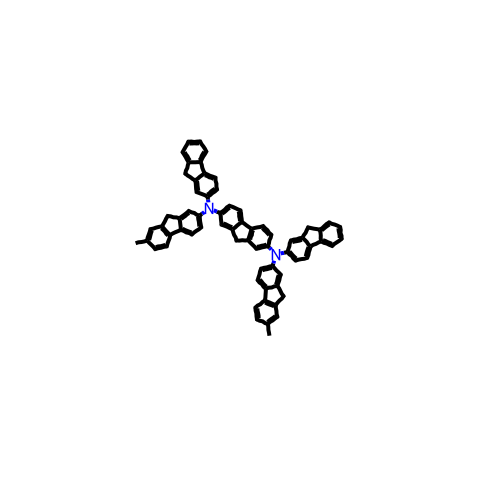 Cc1ccc2c(c1)Cc1cc(N(c3ccc4c(c3)Cc3ccccc3-4)c3ccc4c(c3)Cc3cc(N(c5ccc6c(c5)Cc5ccccc5-6)c5ccc6c(c5)Cc5cc(C)ccc5-6)ccc3-4)ccc1-2